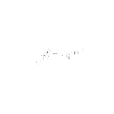 CC(C)C(C(=O)O)c1cc(OCCCC#Cc2cn3cc(-c4ccccc4O)nc3nc2N)no1